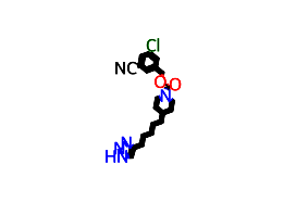 N#Cc1cc(Cl)cc(COC(=O)N2CCC(CCCCCc3c[nH]nn3)CC2)c1